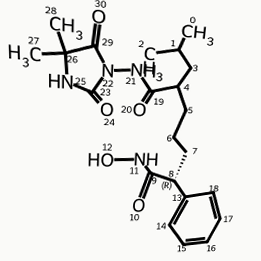 CC(C)CC(CCC[C@@H](C(=O)NO)c1ccccc1)C(=O)NN1C(=O)NC(C)(C)C1=O